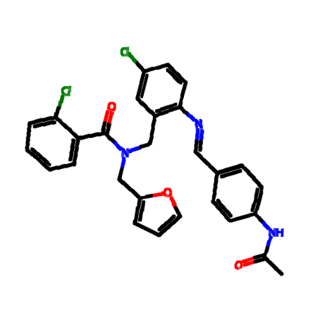 CC(=O)Nc1ccc(C=Nc2ccc(Cl)cc2CN(Cc2ccco2)C(=O)c2ccccc2Cl)cc1